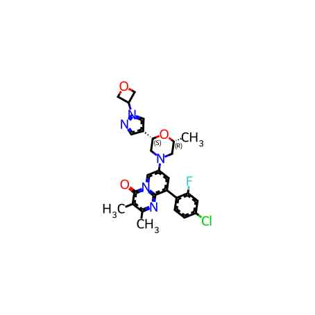 Cc1nc2c(-c3ccc(Cl)cc3F)cc(N3C[C@@H](C)O[C@@H](c4cnn(C5COC5)c4)C3)cn2c(=O)c1C